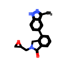 Cc1n[nH]c2ccc(-c3cccc4c3CN(CC3CO3)C4=O)cc12